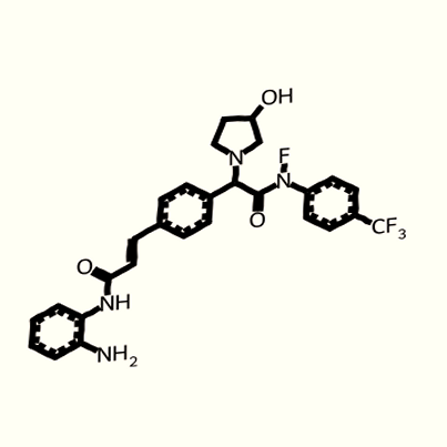 Nc1ccccc1NC(=O)C=Cc1ccc(C(C(=O)N(F)c2ccc(C(F)(F)F)cc2)N2CCC(O)C2)cc1